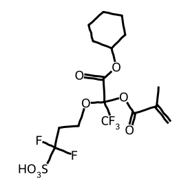 C=C(C)C(=O)OC(OCCC(F)(F)S(=O)(=O)O)(C(=O)OC1CCCCC1)C(F)(F)F